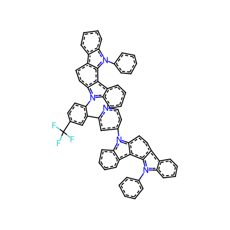 FC(F)(F)c1ccc(-n2c3ccccc3c3c2ccc2c4ccccc4n(-c4ccccc4)c23)c(-c2cc(-n3c4ccccc4c4c3ccc3c5ccccc5n(-c5ccccc5)c34)ccn2)c1